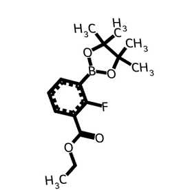 CCOC(=O)c1cccc(B2OC(C)(C)C(C)(C)O2)c1F